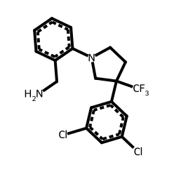 NCc1ccccc1N1CCC(c2cc(Cl)cc(Cl)c2)(C(F)(F)F)C1